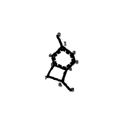 Cc1ccc2c(c1)CC2C